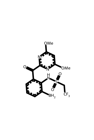 Bc1cccc(C(=O)c2nc(OC)cc(OC)n2)c1NS(=O)(=O)CC(F)(F)F